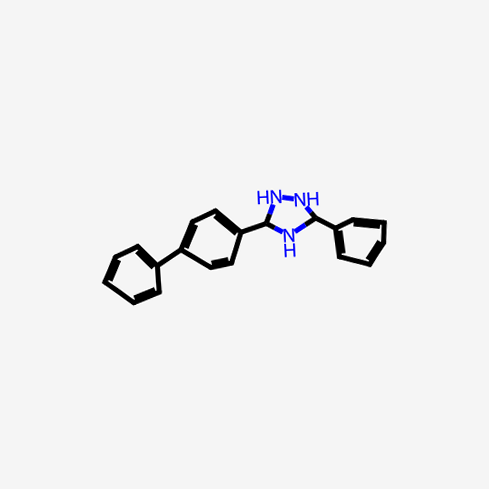 c1ccc(-c2ccc(C3NNC(c4ccccc4)N3)cc2)cc1